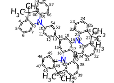 CC1(C)c2ccccc2N(c2ccc(-c3cc4c5c(c3)N3c6ccccc6C(C)(C)c6cccc(c63)B5c3cccc5c3N4c3ccccc3C5(C)C)cc2)c2ccccc21